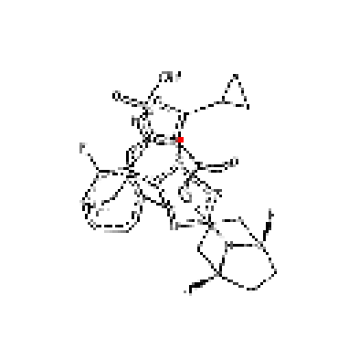 Cc1cc(C(=O)O)cc2sc(N3[C@@H]4CC[C@H]3C[C@@H](OC(=O)c3c(-c5c(F)cccc5F)noc3C3CC3)C4)nc12